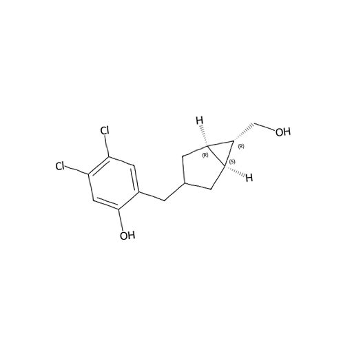 OC[C@@H]1[C@H]2CC(Cc3cc(Cl)c(Cl)cc3O)C[C@@H]12